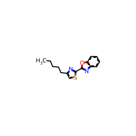 CCCCCc1csc(-c2nc3ccccc3o2)n1